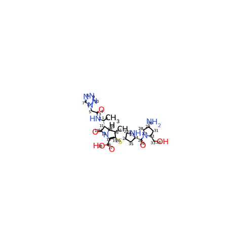 CC(NC(=O)Cn1cnnn1)[C@H]1C(=O)N2C(C(=O)O)=C(S[C@@H]3CN[C@H](C(=O)N4C[C@H](N)C[C@H]4CO)C3)[C@H](C)[C@H]12